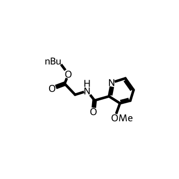 CCCCOC(=O)CNC(=O)c1ncccc1OC